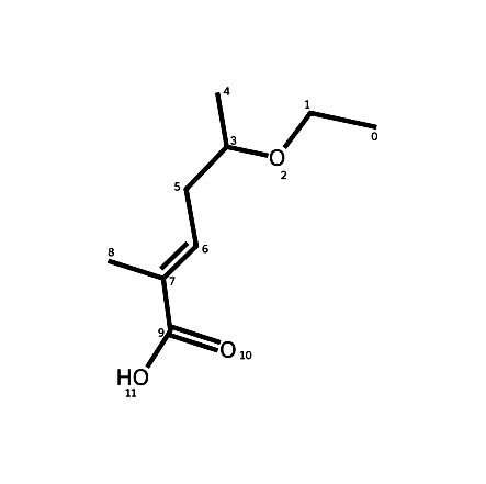 CCOC(C)C/C=C(\C)C(=O)O